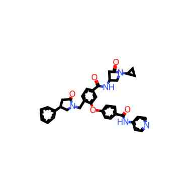 O=C(Nc1ccncc1)c1ccc(Oc2cc(C(=O)NC3CC(=O)N(C4CC4)C3)ccc2CN2CC(c3ccccc3)CC2=O)cc1